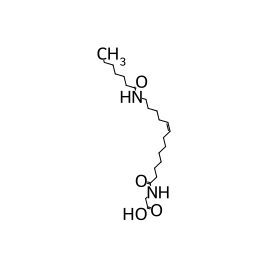 CCCCCCC(=O)NCCCC/C=C\CCCCCCC(=O)NCC(=O)O